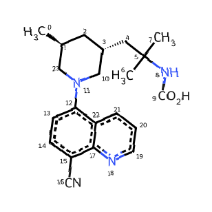 C[C@H]1C[C@H](CC(C)(C)NC(=O)O)CN(c2ccc(C#N)c3ncccc23)C1